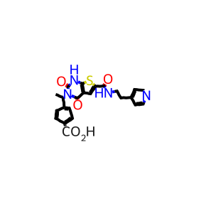 CC(c1ccc(C(=O)O)cc1)n1c(=O)[nH]c2sc(C(=O)NCCc3ccncc3)cc2c1=O